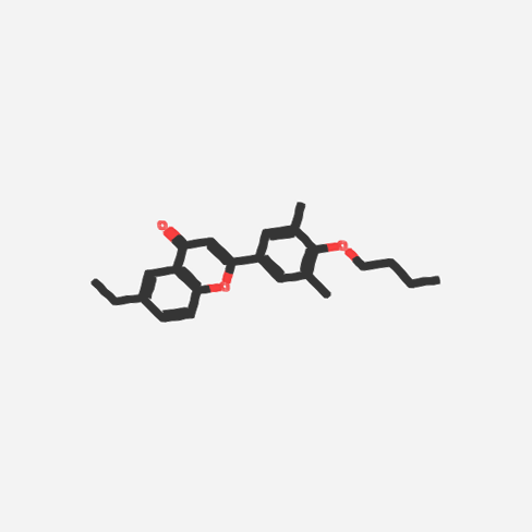 CCCCOc1c(C)cc(-c2cc(=O)c3cc(CC)ccc3o2)cc1C